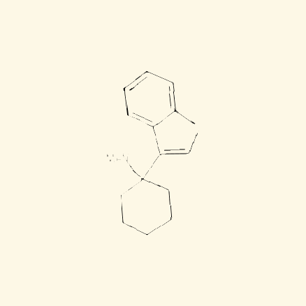 CNC1(c2csc3ccccc23)CCCCC1